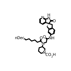 CCCCCCCCCCCCCCCC(=O)N(CC(=O)Nc1ccc2c(c1)C[C@@]1(C2)C(=O)Nc2ncccc21)C1CCCN(C(=O)O)C1